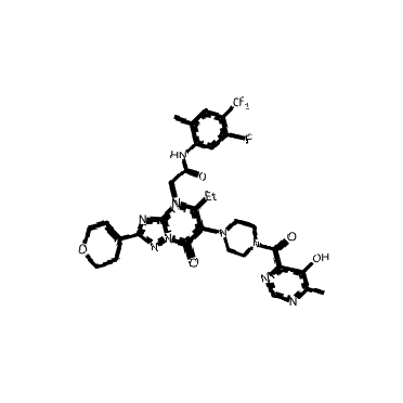 CCc1c(N2CCN(C(=O)c3ncnc(C)c3O)CC2)c(=O)n2nc(C3=CCOCC3)nc2n1CC(=O)Nc1cc(F)c(C(F)(F)F)cc1C